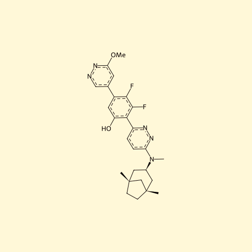 COc1cc(-c2cc(O)c(-c3ccc(N(C)[C@H]4C[C@]5(C)CC[C@](C)(C4)C5)nn3)c(F)c2F)cnn1